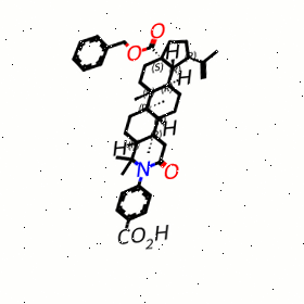 C=C(C)[C@@H]1CC[C@]2(C(=O)OCc3ccccc3)CC[C@]3(C)[C@H](CC[C@@H]4[C@@]5(C)CC(=O)N(c6ccc(C(=O)O)cc6)C(C)(C)[C@@H]5CC[C@]43C)[C@@H]12